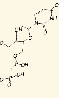 CC(OC(COP(O)CP(=O)(O)O)C(O)CO)n1ccc(=O)[nH]c1=O